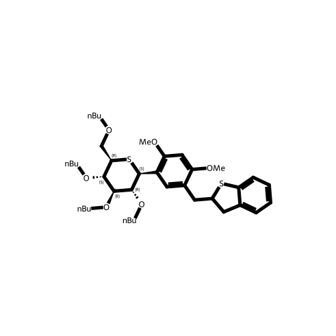 CCCCOC[C@H]1S[C@@H](c2cc(CC3Cc4ccccc4S3)c(OC)cc2OC)[C@H](OCCCC)[C@@H](OCCCC)[C@@H]1OCCCC